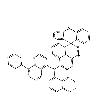 c1ccc(-c2cccc3c(N(c4cccc5ccccc45)c4ccc5c6c(cccc46)C4(c6ccccc6Sc6ccccc64)c4ccccc4-5)cccc23)cc1